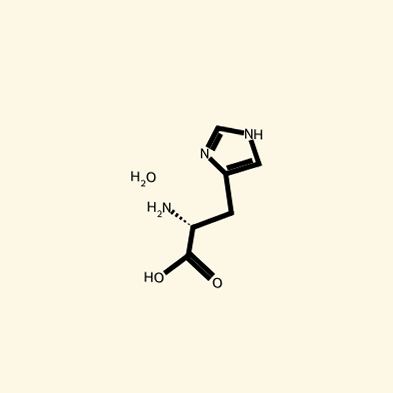 N[C@H](Cc1c[nH]cn1)C(=O)O.O